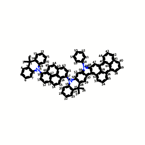 CC1(C)c2ccccc2N(c2ccc3ccc4c(N5c6ccccc6C(C)(C)c6cc7c8c9cccc%10c%11cccc%12cccc(c(cc8n(-c8ccccc8)c7cc65)c%109)c%12%11)ccc5ccc2c3c54)c2ccccc21